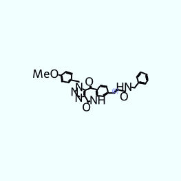 COc1ccc(Cn2nnc3c(=O)[nH]c4cc(/C=C/C(=O)NCc5ccccc5)ccc4c(=O)c32)cc1